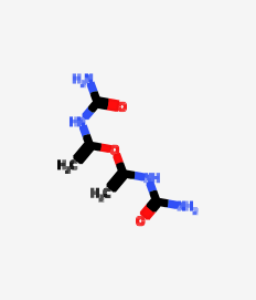 C=C(NC(N)=O)OC(=C)NC(N)=O